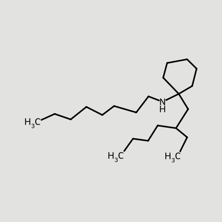 CCCCCCCCNC1(CC(CC)CCCC)CCCCC1